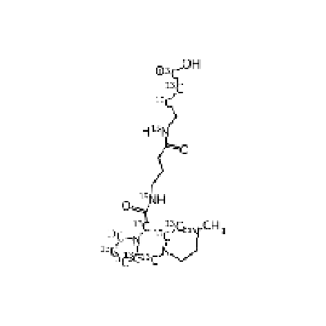 C[15N]1CCN([13CH2][13CH]2[13CH2][13CH2][13CH2]N2[13CH2]C(=O)[15NH]CCCC(=O)[15NH]C[13CH2][13CH2][13C](=O)O)[13CH2][13CH2]1